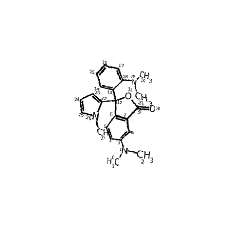 CN(C)c1ccc2c(c1)C(=O)OC2(c1ccccc1N(C)C)c1cccn1C